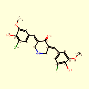 COc1cc(C=C2CNCC(=Cc3cc(Cl)c(O)c(OC)c3)C2=O)cc(Cl)c1O